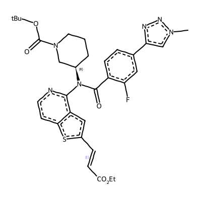 CCOC(=O)/C=C/c1cc2c(N(C(=O)c3ccc(-c4cn(C)nn4)cc3F)[C@@H]3CCCN(C(=O)OC(C)(C)C)C3)nccc2s1